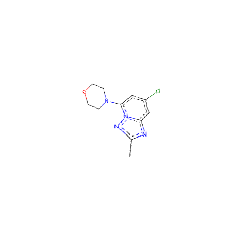 Cc1nc2cc(Cl)cc(N3CCOCC3)n2n1